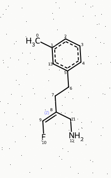 Cc1cccc(CC/C(=C/F)CN)c1